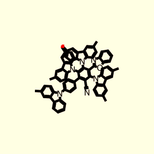 Cc1ccc2c(c1)c1ccccc1n2-c1ccc(-c2c(C#N)c(-n3c4ccc(C)cc4c4cc(C)ccc43)c(-c3nc4ccccc4o3)c(-n3c4ccc(C)cc4c4cc(C)ccc43)c2-n2c3ccc(C)cc3c3cc(C)ccc32)cc1